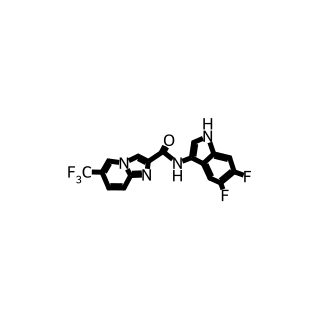 O=C(Nc1c[nH]c2cc(F)c(F)cc12)c1cn2cc(C(F)(F)F)ccc2n1